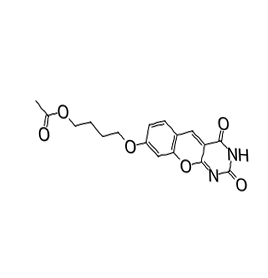 CC(=O)OCCCCOc1ccc2cc3c(=O)[nH]c(=O)nc-3oc2c1